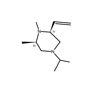 C=C[C@H]1CN(C(C)C)C[C@@H](C)N1C